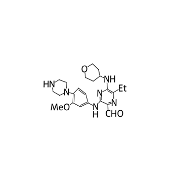 CCc1nc(C=O)c(Nc2ccc(N3CCNCC3)c(OC)c2)nc1NC1CCOCC1